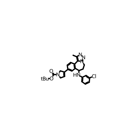 Cc1nnn2c1-c1ccc(C3=CCN(C(=O)OC(C)(C)C)C3)cc1C(Nc1cccc(Cl)c1)CC2